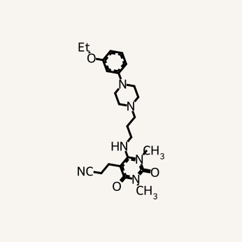 CCOc1cccc(N2CCN(CCCNc3c(CCC#N)c(=O)n(C)c(=O)n3C)CC2)c1